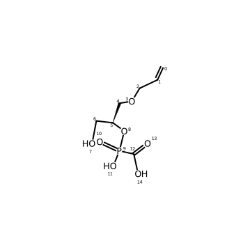 C=CCOC[C@H](CO)OP(=O)(O)C(=O)O